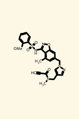 C#CC(=O)N(C)Cc1cnn(Cc2cc(C)c3c(NS(=O)(=O)c4ccccc4OC)noc3c2)c1